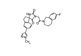 Cn1cc(-c2ccc3c(c2)CCC32NC(=O)N(CC(=O)N3CCCc4cc(F)ccc4C3)C2=O)cn1